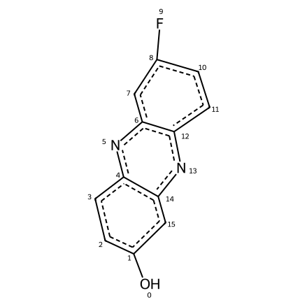 Oc1ccc2nc3cc(F)ccc3nc2c1